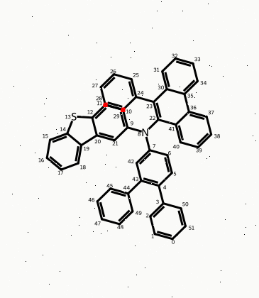 c1ccc(-c2ccc(N(c3ccc4sc5ccccc5c4c3)c3c(-c4ccccc4)c4ccccc4c4ccccc34)cc2-c2ccccc2)cc1